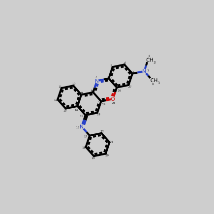 CN(C)c1ccc2nc3c4ccccc4c(=Nc4ccccc4)cc-3oc2c1